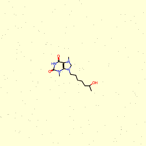 CC(O)CCCCCN1CN(C)c2c1n(C)c(=O)[nH]c2=O